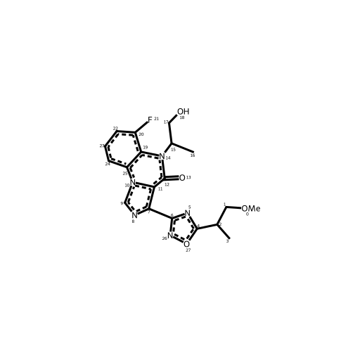 COCC(C)c1nc(-c2ncn3c2c(=O)n(C(C)CO)c2c(F)cccc23)no1